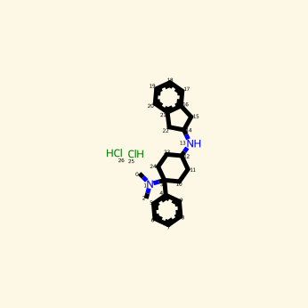 CN(C)C1(c2ccccc2)CCC(NC2Cc3ccccc3C2)CC1.Cl.Cl